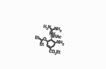 CCOC(=O)C1=C[C@@H](OC(CC)CC)[C@H](NC(C)=O)[C@@H](N)C1.N=C(N)N